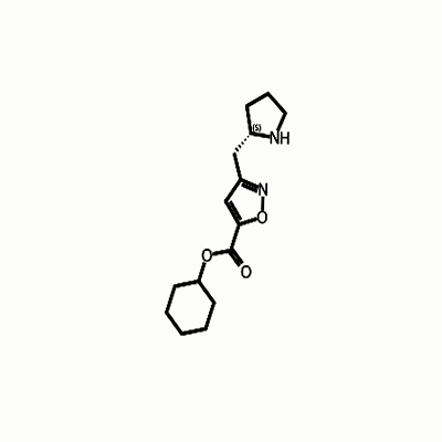 O=C(OC1CCCCC1)c1cc(C[C@@H]2CCCN2)no1